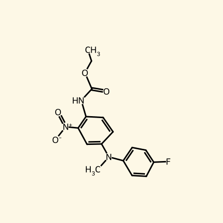 CCOC(=O)Nc1ccc(N(C)c2ccc(F)cc2)cc1[N+](=O)[O-]